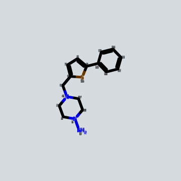 NN1CCN(Cc2ccc(-c3ccccc3)s2)CC1